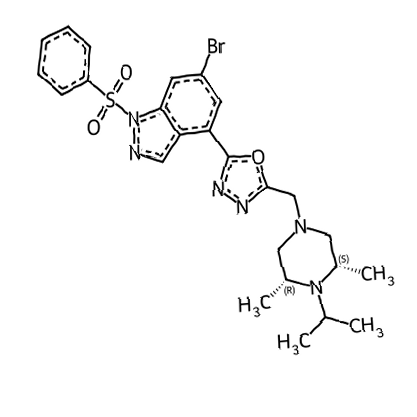 CC(C)N1[C@H](C)CN(Cc2nnc(-c3cc(Br)cc4c3cnn4S(=O)(=O)c3ccccc3)o2)C[C@@H]1C